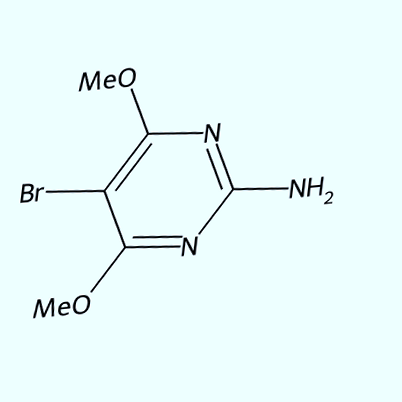 COc1nc(N)nc(OC)c1Br